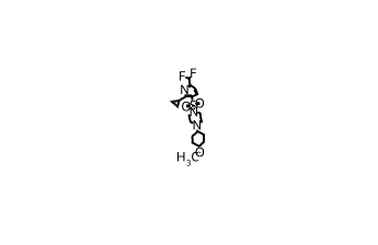 COC1CCC(N2CCN(S(=O)(=O)c3ccc(C(F)F)nc3C3CC3)CC2)CC1